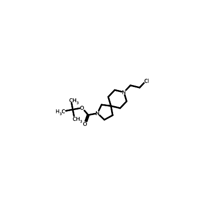 CC(C)(C)OC(=O)N1CCC2(CCN(CCCl)CC2)C1